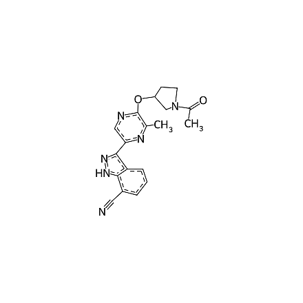 CC(=O)N1CCC(Oc2ncc(-c3n[nH]c4c(C#N)cccc34)nc2C)C1